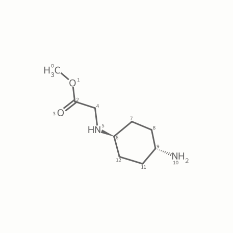 COC(=O)CN[C@H]1CC[C@H](N)CC1